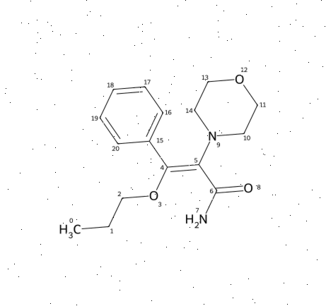 CCCO/C(=C(\C(N)=O)N1CCOCC1)c1ccccc1